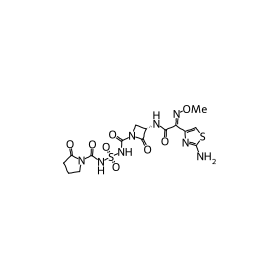 CON=C(C(=O)N[C@H]1CN(C(=O)NS(=O)(=O)NC(=O)N2CCCC2=O)C1=O)c1csc(N)n1